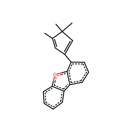 CC1=CC(c2cccc3c2oc2ccccc23)=CC1(C)C